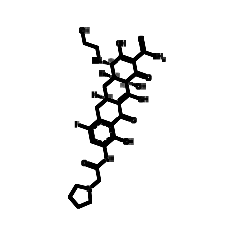 NC(=O)C1=C(O)[C@@H](NCCO)[C@@H]2C[C@@H]3Cc4c(F)cc(NC(=O)CN5CCCC5)c(O)c4C(=O)C3=C(O)[C@]2(O)C1=O